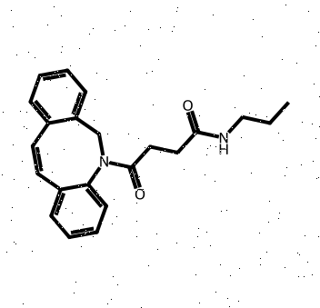 CCCNC(=O)CCC(=O)N1Cc2ccccc2/C=C\c2ccccc21